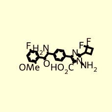 COc1ccc(F)cc1C(=O)C(N)c1ccc(-c2nc(C3CCC3(F)F)n(N)c2C(=O)O)cc1